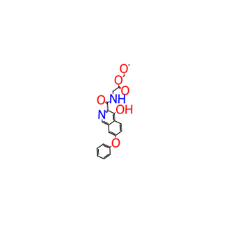 COCOC(=O)CNC(=O)c1ncc2cc(Oc3ccccc3)ccc2c1O